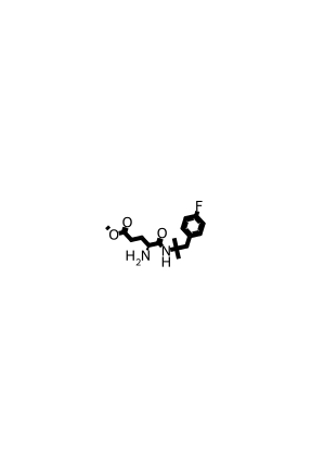 COC(=O)CC[C@H](N)C(=O)NC(C)(C)Cc1ccc(F)cc1